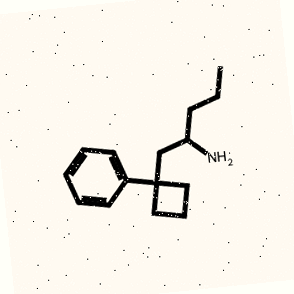 CCCC(N)CC1(c2ccccc2)CCC1